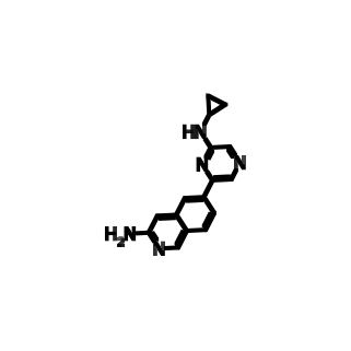 Nc1cc2cc(-c3cncc(NC4CC4)n3)ccc2cn1